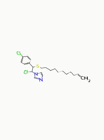 C=CCCCCCCCCCSC(c1ccc(Cl)cc1)C(Cl)n1ccnc1